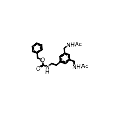 CC(=O)NCc1cc(CCNC(=O)OCc2ccccc2)cc(CNC(C)=O)c1